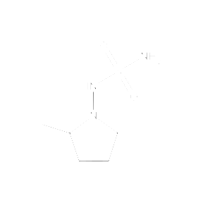 CC1CCCN1NS(N)(=O)=O